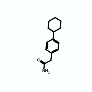 NC(=O)Cc1ccc(C2CCCCC2)cc1